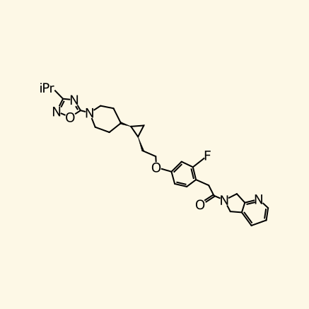 CC(C)c1noc(N2CCC([C@H]3C[C@H]3CCOc3ccc(CC(=O)N4Cc5cccnc5C4)c(F)c3)CC2)n1